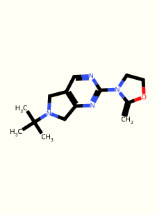 C=C1OCCN1c1ncc2c(n1)CN(C(C)(C)C)C2